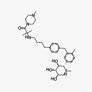 Cc1ccc([C@H]2[C@H](O)[C@H](O)[C@H](O)C[SH]2C)cc1Cc1ccc(CCCCNC(C)(C)C(=O)N2CCN(C)CC2)cc1